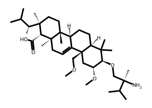 COC[C@]12C[C@@H](OC)[C@H](OC[C@@](C)(N)C(C)C)C(C)(C)[C@@H]1CC[C@H]1C2=CC[C@@]2(C)[C@H](C(=O)O)[C@@](C)([C@H](C)C(C)C)CC[C@]12C